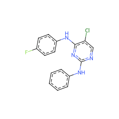 Fc1ccc(Nc2nc(Nc3ccccc3)ncc2Cl)cc1